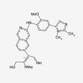 CN/C(CO)=C(\C=N)c1ccc2cnc(Nc3ccc(-c4cnc(C)n4C)cc3OC)cc2c1